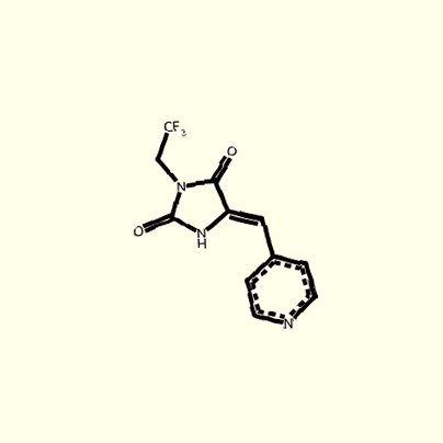 O=C1N/C(=C\c2ccncc2)C(=O)N1CC(F)(F)F